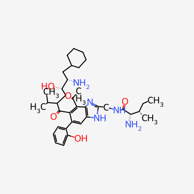 CC[C@H](C)[C@H](N)C(=O)NCc1nc2c(C(C)=O)c(C(=O)C(C[C@H](O)[C@@H](N)CC3CCCCC3)C(C)C)c(-c3ccccc3O)cc2[nH]1